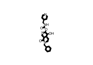 O=C(NCc1ccncc1)Oc1ncc2c(=O)n(Cc3ccccc3)ccc2c1O